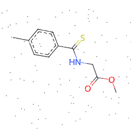 COC(=O)CNC(=S)c1ccc(C)cc1